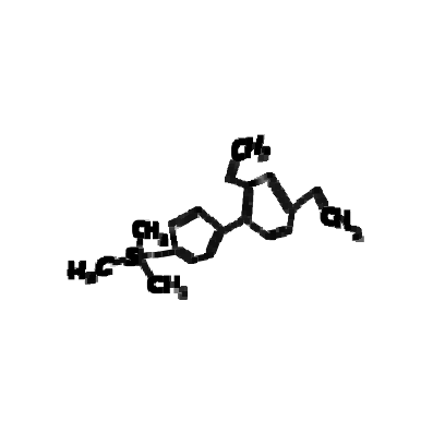 C=Cc1ccc(-c2ccc([Si](C)(C)C)cc2)c(C=C)c1